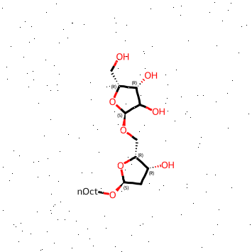 CCCCCCCCO[C@@H]1C[C@@H](O)[C@@H](CO[C@H]2O[C@H](CO)[C@H](O)C2O)O1